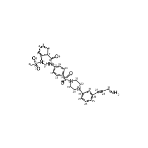 CN(c1ccccc1C(=O)Nc1ccc(S(=O)(=O)N2CCN(c3cccc(C#CCN)c3)CC2)cc1)S(C)(=O)=O